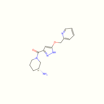 N[C@@H]1CCCN(C(=O)c2[c]c(OCc3ccccn3)[nH]n2)C1